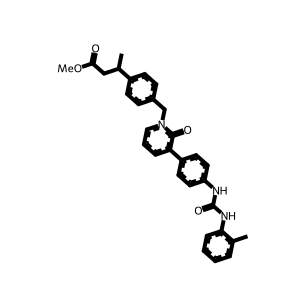 COC(=O)CC(C)c1ccc(Cn2cccc(-c3ccc(NC(=O)Nc4ccccc4C)cc3)c2=O)cc1